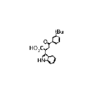 CC(C)(C)c1cccc(C(=O)CC(C(=O)O)c2c[nH]c3ccccc23)c1